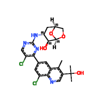 Cc1c(C(C)(C)O)cnc2c(Cl)cc(-c3nc(N[C@@H]4C[C@H]5CO[C@H](O5)[C@H]4O)ncc3Cl)cc12